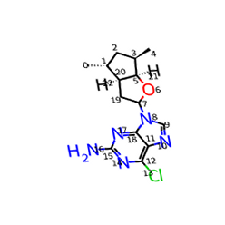 C[C@@H]1C[C@@H](C)[C@H]2OC(n3cnc4c(Cl)nc(N)nc43)C[C@H]21